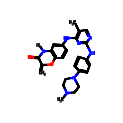 C=C1Oc2ccc(Nc3nc(Nc4ccc(N5CCN(C)CC5)cc4)ncc3C)cc2N(CC)C1=O